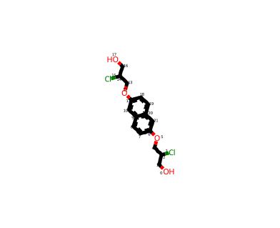 OCC(Cl)COc1ccc2cc(OCC(Cl)CO)ccc2c1